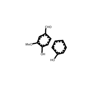 COc1cc(C=O)ccc1O.Oc1ccccc1